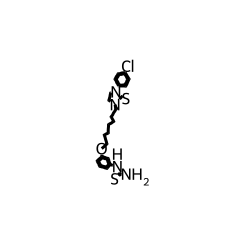 NC(=S)Nc1cccc(OCCCCCCCN2CCN(c3ccc(Cl)cc3)C2=S)c1